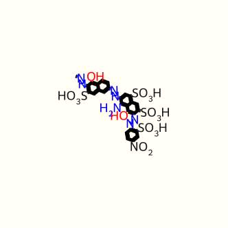 CN=Nc1c(S(=O)(=O)O)cc2cc(N=Nc3cc(S(=O)(=O)O)c4cc(S(=O)(=O)O)c(N=Nc5ccc([N+](=O)[O-])cc5S(=O)(=O)O)c(O)c4c3N)ccc2c1O